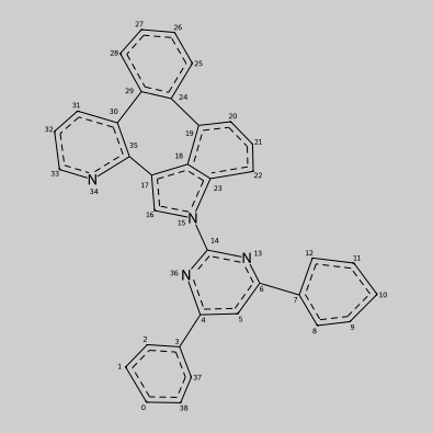 c1ccc(-c2cc(-c3ccccc3)nc(-n3cc4c5c(cccc53)-c3ccccc3-c3cccnc3-4)n2)cc1